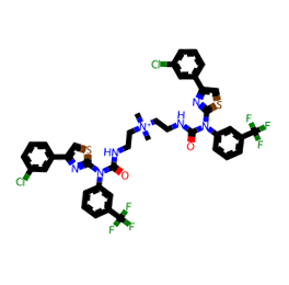 C[N+](C)(CCNC(=O)N(c1cccc(C(F)(F)F)c1)c1nc(-c2cccc(Cl)c2)cs1)CCNC(=O)N(c1cccc(C(F)(F)F)c1)c1nc(-c2cccc(Cl)c2)cs1